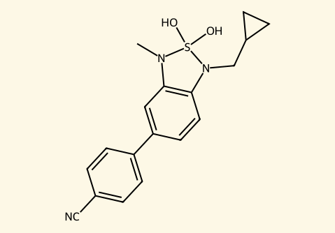 CN1c2cc(-c3ccc(C#N)cc3)ccc2N(CC2CC2)S1(O)O